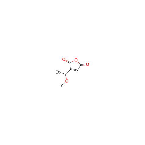 CCC([O][Y])C1=CC(=O)OC1=O